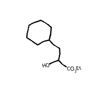 CCOC(=O)C(O)CC1CCCCC1